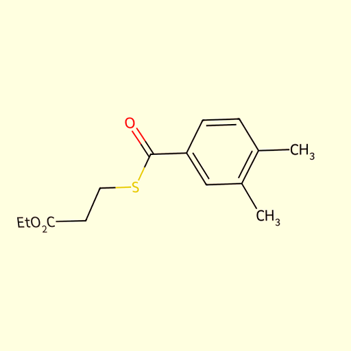 CCOC(=O)CCSC(=O)c1ccc(C)c(C)c1